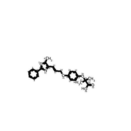 Cc1oc(-c2ccccc2)nc1C=CCOc1ccc(OC(C)(C)C(=O)O)cc1